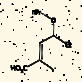 CCCOC(C=C(C)C(=O)O)CC